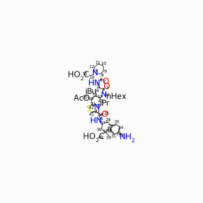 CCCCCCN(C(=O)[C@@H](NC(=O)[C@H]1CCCCN1CC(=O)O)[C@@H](C)CC)[C@H](C[C@@H](OC(C)=O)c1nc(C(=O)N[C@@H](Cc2ccc(N)cc2)CC(C)(C)C(=O)O)cs1)C(C)C